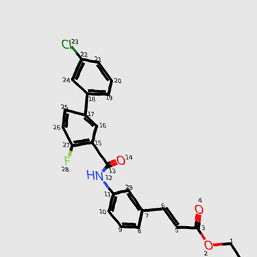 CCOC(=O)C=Cc1cccc(NC(=O)c2cc(-c3cccc(Cl)c3)ccc2F)c1